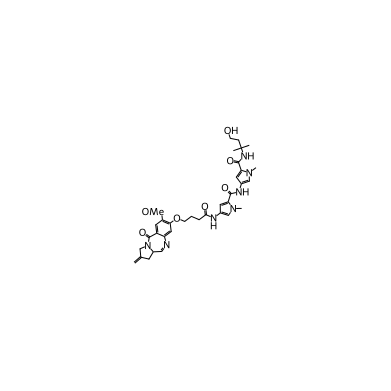 C=C1CC2C=Nc3cc(OCCCC(=O)Nc4cc(C(=O)Nc5cc(C(=O)NC(C)(C)CCO)n(C)c5)n(C)c4)c(OC)cc3C(=O)N2C1